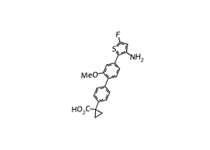 COc1cc(-c2sc(F)cc2N)ccc1-c1ccc(C2(C(=O)O)CC2)cc1